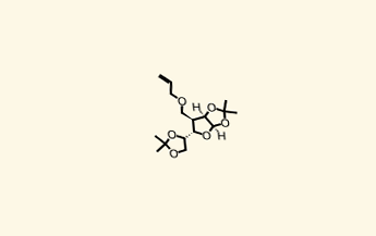 C=CCOC[C@H]1[C@H]2OC(C)(C)O[C@H]2O[C@@H]1C1COC(C)(C)O1